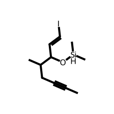 CC#CCC(C)C(C=CI)O[SiH](C)C